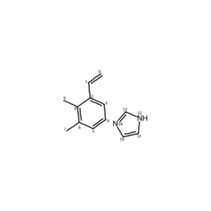 C=Cc1cccc(C)c1C.c1c[nH]cn1